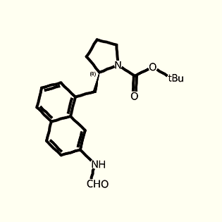 CC(C)(C)OC(=O)N1CCC[C@@H]1Cc1cccc2ccc(NC=O)cc12